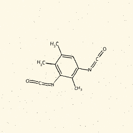 Cc1cc(N=C=O)c(C)c(N=C=O)c1C